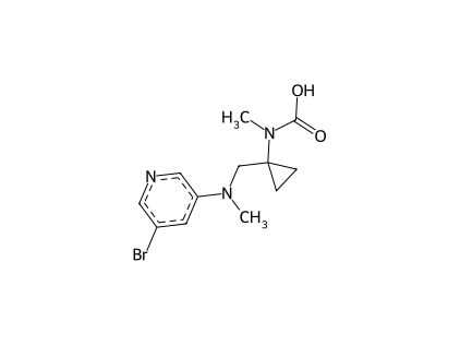 CN(CC1(N(C)C(=O)O)CC1)c1cncc(Br)c1